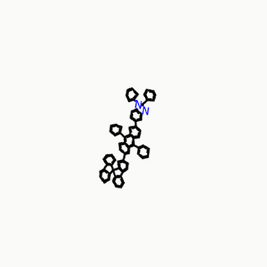 c1ccc(-c2c3ccc(-c4ccc5c(c4)nc(-c4ccccc4)n5-c4ccccc4)cc3c(-c3ccccc3)c3ccc(-c4ccc5c(c4)C4(c6ccccc6-c6ccccc64)c4ccccc4-5)cc23)cc1